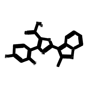 Cc1nn2ccccc2c1-c1nc(-c2ccc(F)cc2F)c(C(N)=O)s1